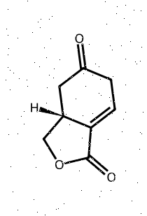 O=C1CC=C2C(=O)OC[C@@H]2C1